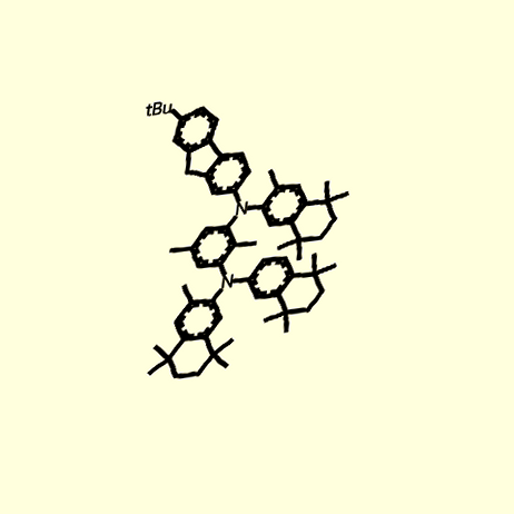 Cc1cc(N(c2ccc3c(c2)Cc2cc(C(C)(C)C)ccc2-3)c2cc3c(cc2C)C(C)(C)CCC3(C)C)c(C)c(N(c2ccc3c(c2)C(C)(C)CCC3(C)C)c2cc3c(cc2C)C(C)(C)CCC3(C)C)c1